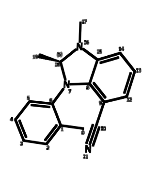 Cc1ccccc1N1c2c(C#N)cccc2N(C)[C@@H]1C